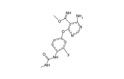 CNC(=O)Nc1ccc(Oc2ncnc(N)c2C(=N)OC)cc1F